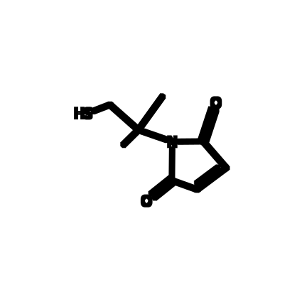 CC(C)(CS)N1C(=O)C=CC1=O